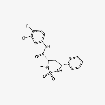 CN1[C@H](C(=O)Nc2ccc(F)c(Cl)c2)C[C@H](c2ccccn2)NS1(=O)=O